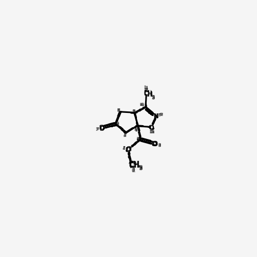 COC(=O)C12CC(=O)CC1C(C)=NO2